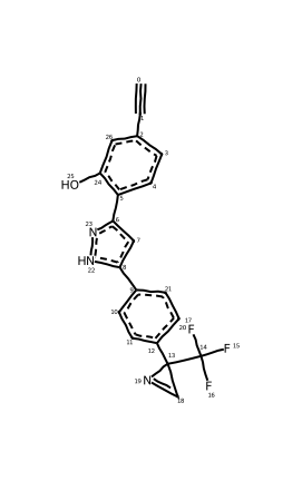 C#Cc1ccc(-c2cc(-c3ccc(C4(C(F)(F)F)C=N4)cc3)[nH]n2)c(O)c1